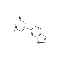 C=CC[C@@H](NC(C)=O)c1ccc2cn[nH]c2c1